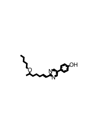 CCCCCOC(C)CCC/C=C/c1ncc(-c2ccc(O)cc2)cn1